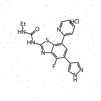 CCNC(=O)Nc1nc2c(F)c(-c3cn[nH]c3)cc(-c3ccccn3)c2s1.Cl